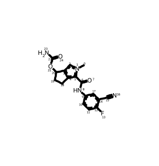 Cn1cc2c(c1C(=O)Nc1ccc(F)c(C#N)c1)CCC2OC(N)=O